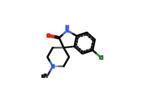 CCCN1CCC2(CC1)C(=O)Nc1ccc(Cl)cc12